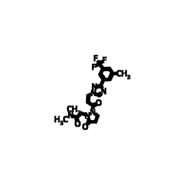 Cc1cc(-c2ncn(/C=C\C(=O)N3CCC(=O)N3CC(=O)N(C)C)n2)cc(C(F)(F)F)c1